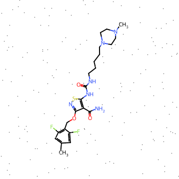 Cc1cc(F)c(COc2nsc(NC(=O)NCCCCCN3CCN(C)CC3)c2C(N)=O)c(F)c1